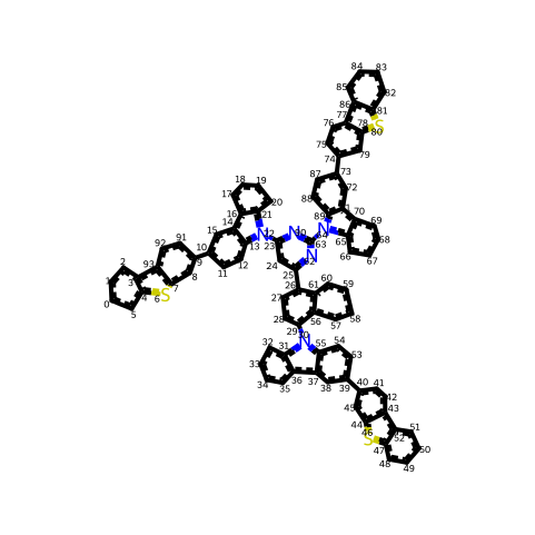 c1ccc2c(c1)sc1cc(-c3ccc4c(c3)c3ccccc3n4-c3cc(-c4ccc(-n5c6ccccc6c6cc(-c7ccc8c(c7)sc7ccccc78)ccc65)c5ccccc45)nc(-n4c5ccccc5c5cc(-c6ccc7c(c6)sc6ccccc67)ccc54)n3)ccc12